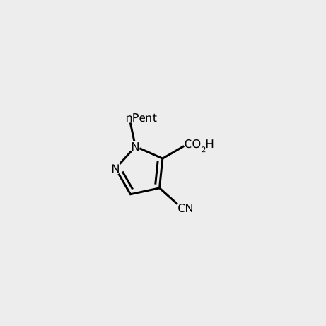 CCCCCn1ncc(C#N)c1C(=O)O